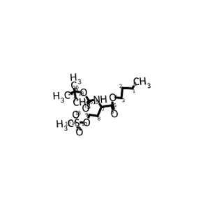 CCCCOC(=O)C(CCOS(C)(=O)=O)NC(=O)OC(C)(C)C